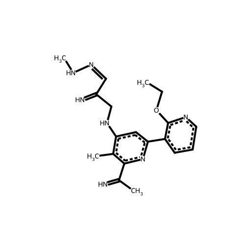 CCOc1ncccc1-c1cc(NCC(=N)/C=N\NC)c(C)c(C(C)=N)n1